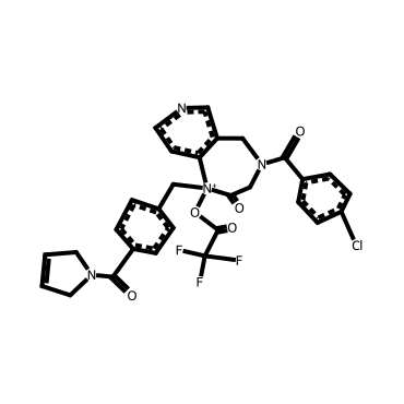 O=C(c1ccc(C[N+]2(OC(=O)C(F)(F)F)C(=O)CN(C(=O)c3ccc(Cl)cc3)Cc3cnccc32)cc1)N1CC=CC1